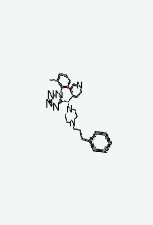 Cc1cccc(C)c1-n1nnnc1[C@@H](c1ccncc1)N1CCN(C/C=C/c2ccccc2)CC1